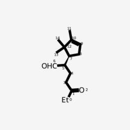 CCC(=O)CCC(C=O)[C@@H]1CC=C(C)C1(C)C